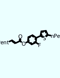 CCCCCC=CC(=O)Oc1ccc(-c2ccc(CCCCC)s2)c(F)c1